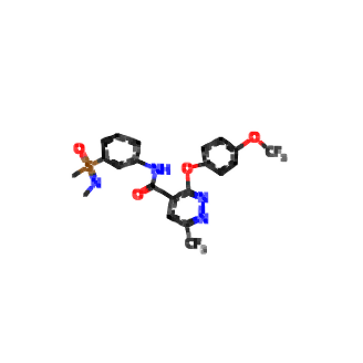 CN=S(C)(=O)c1cccc(NC(=O)c2cc(C(F)(F)F)nnc2Oc2ccc(OC(F)(F)F)cc2)c1